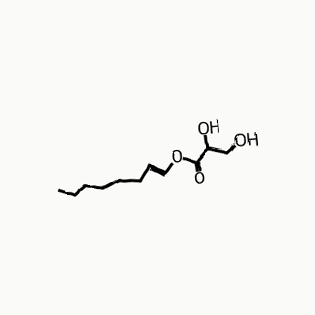 CCCCCC/C=C/OC(=O)C(O)CO